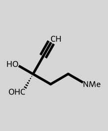 C#C[C@@](O)(C=O)CCNC